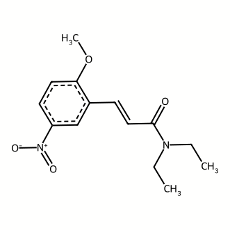 CCN(CC)C(=O)C=Cc1cc([N+](=O)[O-])ccc1OC